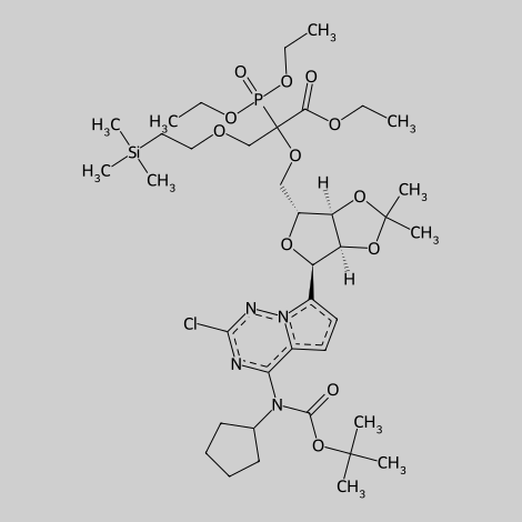 CCOC(=O)C(COCC[Si](C)(C)C)(OC[C@H]1O[C@H](c2ccc3c(N(C(=O)OC(C)(C)C)C4CCCC4)nc(Cl)nn23)[C@@H]2OC(C)(C)O[C@@H]21)P(=O)(OCC)OCC